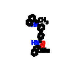 COC(=O)[C@H](Cc1ccccc1)NC(=O)C1=CCC([C@H]2CCC[C@H](N[C@H](C)c3cccc4ccccc34)C2)C=C1